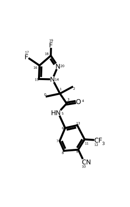 CC(C)(C(=O)Nc1ccc(C#N)c(C(F)(F)F)c1)n1cc(F)c(F)n1